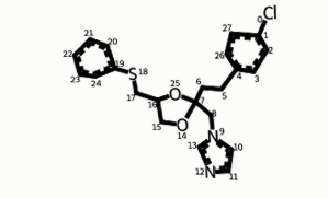 Clc1ccc(CCC2(Cn3ccnc3)OCC(CSc3ccccc3)O2)cc1